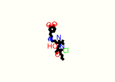 CCCC1OCc2c(O)c(C(C#N)(CCCN(C)CCc3ccc(OC)c(OC)c3)C(C)C)nc(Cl)c21